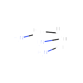 CCC.CN.CN.CN